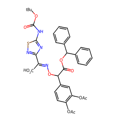 CC(=O)Oc1ccc(C(O/N=C(\C(=O)O)c2nsc(NC(=O)OC(C)(C)C)n2)C(=O)OC(c2ccccc2)c2ccccc2)cc1OC(C)=O